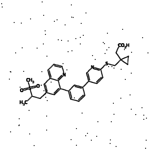 CC(Cc1cc(-c2cccc(-c3ccc(SCC4(CC(=O)O)CC4)nc3)c2)c2ncccc2c1)S(C)(=O)=O